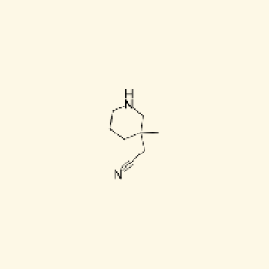 CC1(CC#N)CCCNC1